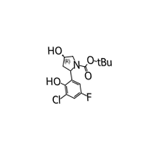 CC(C)(C)OC(=O)N1C[C@H](O)CC1c1cc(F)cc(Cl)c1O